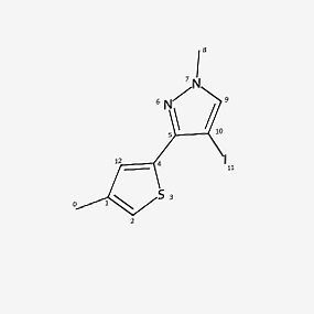 Cc1csc(-c2nn(C)cc2I)c1